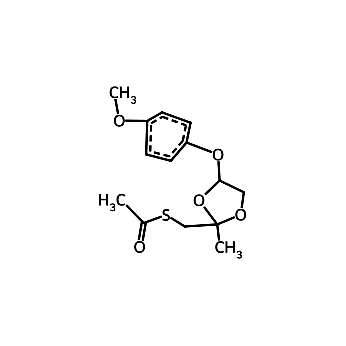 COc1ccc(OC2COC(C)(CSC(C)=O)O2)cc1